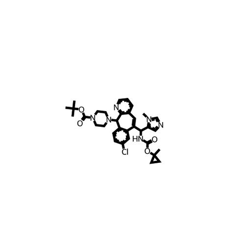 Cn1cncc1C(NC(=O)OC1(C)CC1)C1=Cc2cccnc2C(N2CCN(C(=O)OC(C)(C)C)CC2)c2ccc(Cl)cc21